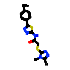 CCc1nnc(SCC(=O)Nc2nnc(-c3ccc(OC)cc3)s2)n1CC